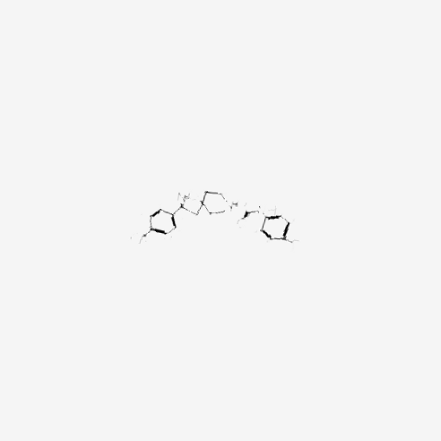 O=C(Nc1ccc(F)cc1)ON1CCC2(CC1)CC(c1ccc(Cl)cc1)=NO2